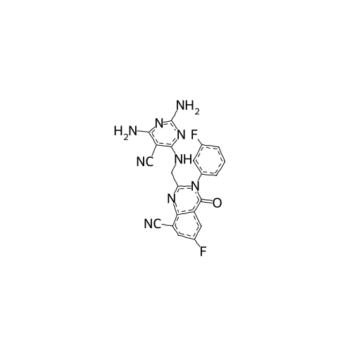 N#Cc1c(N)nc(N)nc1NCc1nc2c(C#N)cc(F)cc2c(=O)n1-c1cccc(F)c1